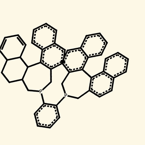 C1=CC2CCC3CP(c4ccccc4P4Cc5ccc6ccccc6c5-c5c(ccc6ccccc56)C4)Cc4ccc5ccccc5c4C3C2C=C1